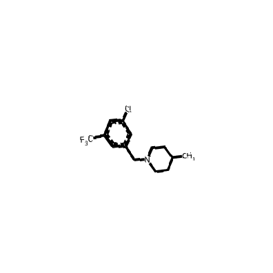 CC1CCN(Cc2cc(Cl)cc(C(F)(F)F)c2)CC1